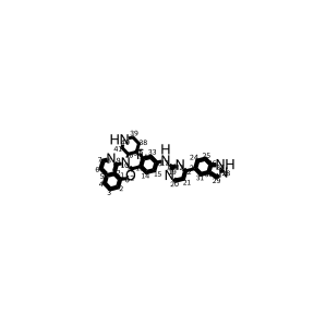 Cc1cccc2ccnc(N(C(=O)c3ccc(Nc4nccc(-c5ccc6[nH]ncc6c5)n4)cc3F)[C@@H]3CCCNC3)c12